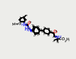 COc1ccc(C)cc1NC(=O)Nc1ccc(C2CCC(C(=O)CNC(C)(C)C(=O)O)CC2)cc1